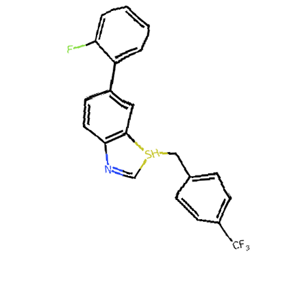 Fc1ccccc1-c1ccc2c(c1)[SH](Cc1ccc(C(F)(F)F)cc1)C=N2